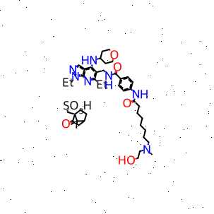 CC1(C)C2CCC1(CS(=O)(=O)O)C(=O)C2.CCc1nc2c(cnn2CC)c(NC2CCOCC2)c1CNC(=O)c1ccc(NC(=O)CCCCCCCN(C)CCO)cc1